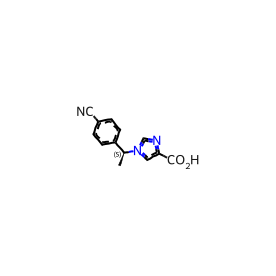 C[C@@H](c1ccc(C#N)cc1)n1cnc(C(=O)O)c1